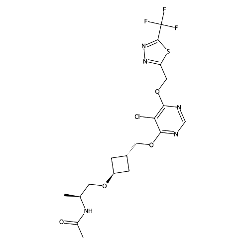 CC(=O)N[C@@H](C)CO[C@H]1C[C@H](COc2ncnc(OCc3nnc(C(F)(F)F)s3)c2Cl)C1